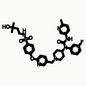 Cc1ccc(NC(=O)N(c2cccc(F)c2)C2CCN(Cc3ccc(Oc4ccc(S(=O)(=O)NCCC(C)(C)O)cc4)nc3)CC2)cn1